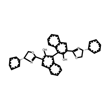 Oc1c(C2=N[C@H](c3ccccc3)CO2)cc2ccccc2c1-c1c(O)c(C2=N[C@H](c3ccccc3)CO2)cc2ccccc12